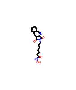 N#Cc1ccccc1CC1CC(=O)N(CCCCCCC(=O)NO)C1=O